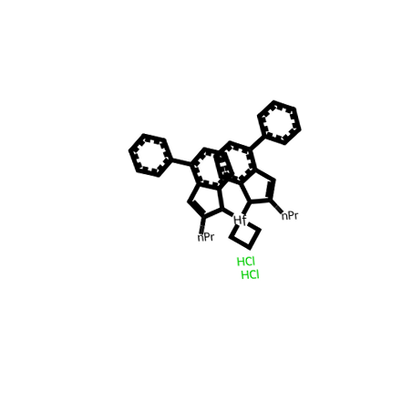 CCCC1=Cc2c(-c3ccccc3)cccc2[CH]1[Hf]1([CH]2C(CCC)=Cc3c(-c4ccccc4)cccc32)[CH2]C[CH2]1.Cl.Cl